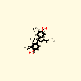 Cc1cc(C(C)(CCCC(=O)O)c2ccc(O)c(C)c2)ccc1O